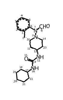 [CH2]c1ccccc1N(C=O)N1CCC(NC(=O)NC2CCCCC2)CC1